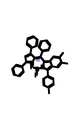 Cc1ccc(-c2c3cc(C)c(C)cc3c(/C(=C3\N=C(c4ccccc4)C=C3c3ccccc3)c3ccccc3)n2B(F)F)cc1